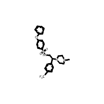 CN1CCN(C(CNS(=O)(=O)c2ccc(Oc3ccccc3)cc2)c2ccc(C(F)(F)F)cc2)CC1